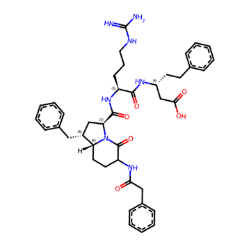 N=C(N)NCCC[C@H](NC(=O)[C@@H]1C[C@@H](Cc2ccccc2)[C@H]2CCC(NC(=O)Cc3ccccc3)C(=O)N21)C(=O)N[C@H](CCc1ccccc1)CC(=O)O